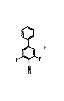 N#Cc1c(F)cc(-c2ccccn2)cc1F.[Ir]